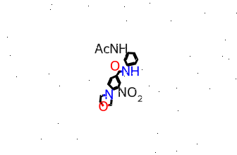 CC(=O)Nc1cccc(NC(=O)c2ccc(N3CCOCC3)c([N+](=O)[O-])c2)c1